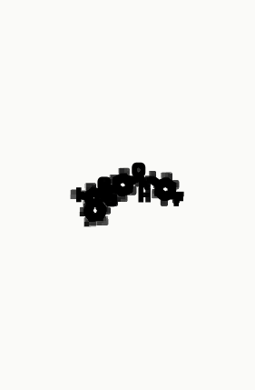 O=C(NCc1ccc(F)cc1)c1ccc(S(=O)(=O)n2cc(I)c3ccccc32)cc1